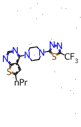 CCCc1cc2c(N3CCN(c4nnc(C(F)(F)F)s4)CC3)ncnc2s1